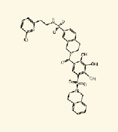 O=C(c1cc(S(=O)(=O)N2CCc3ccccc3C2)c(O)c(O)c1O)N1CCc2ccc(S(=O)(=O)NCCc3cccc(Cl)c3)cc2C1